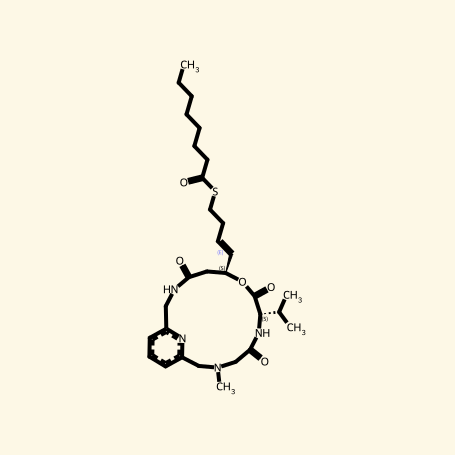 CCCCCCCC(=O)SCC/C=C/[C@@H]1CC(=O)NCc2cccc(n2)CN(C)CC(=O)N[C@@H](C(C)C)C(=O)O1